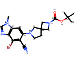 Cn1cnc2c(Br)c(C#N)c(N3CCC4(CN(C(=O)OC(C)(C)C)C4)C3)cc21